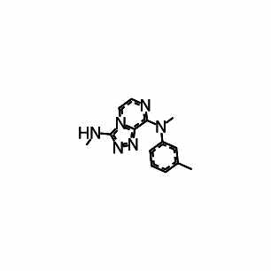 CNc1nnc2c(N(C)c3cccc(C)c3)nccn12